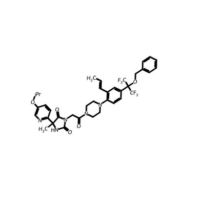 CC=Cc1cc(C(OCc2ccccc2)(C(F)(F)F)C(F)(F)F)ccc1N1CCN(C(=O)CN2C(=O)NC(C)(c3ccc(OC(C)C)cn3)C2=O)CC1